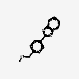 CNCc1ccc(-c2nc3ccccc3s2)cc1